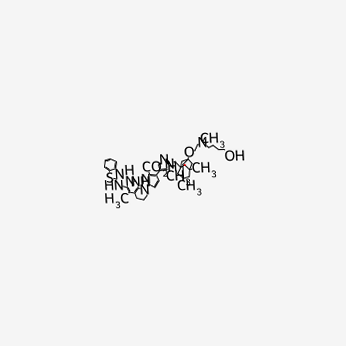 CC1=C(Nc2nc3ccccc3s2)NNC2=C1CCCN2c1ccc(-c2cnn(CC34CC5(C)CC(C)(C3)CC(OCCN(C)CCCCO)(C5)C4)c2C)c(C(=O)O)n1